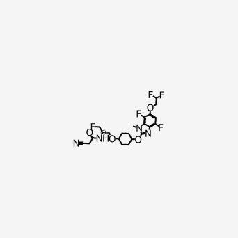 Cn1c(OC2CCC(OC[C@H](CF)NC(=O)CC#N)CC2)nc2c(F)cc(OCC(F)F)c(F)c21